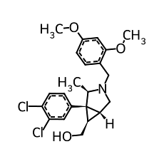 COc1ccc(CN2C[C@@H]3[C@@H](CO)[C@]3(c3ccc(Cl)c(Cl)c3)[C@H]2C)c(OC)c1